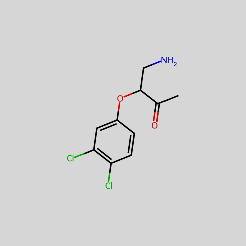 CC(=O)C(CN)Oc1ccc(Cl)c(Cl)c1